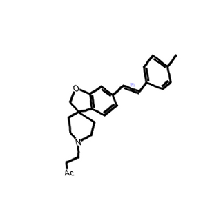 CC(=O)CCN1CCC2(CC1)COc1cc(/C=C/c3ccc(C)cc3)ccc12